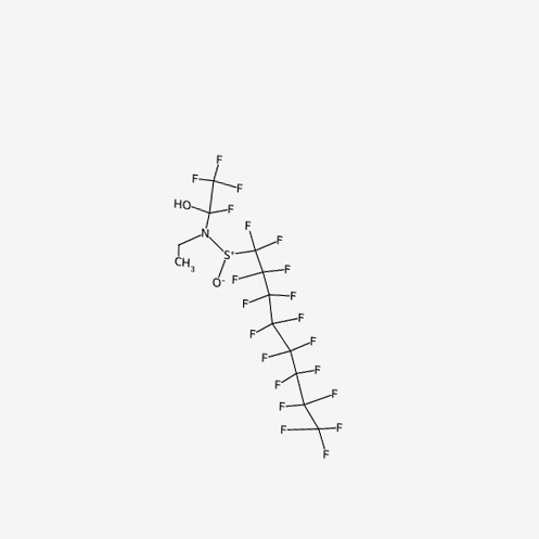 CCN([S+]([O-])C(F)(F)C(F)(F)C(F)(F)C(F)(F)C(F)(F)C(F)(F)C(F)(F)C(F)(F)F)C(O)(F)C(F)(F)F